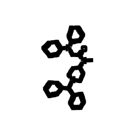 CN(C(=O)CN(c1ccccc1)c1ccccc1)C1CCN(C(c2ccccc2)c2ccccc2)CC1